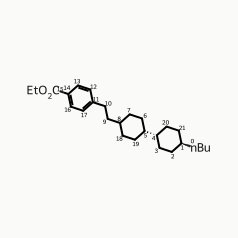 CCCC[C@H]1CC[C@H](C2CCC(CCc3ccc(C(=O)OCC)cc3)CC2)CC1